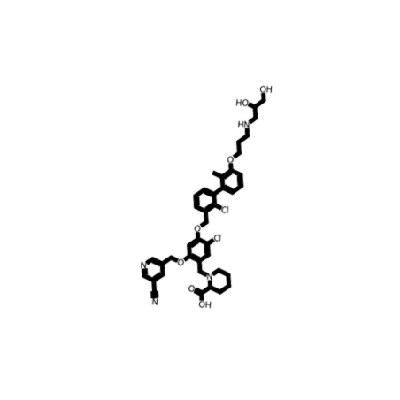 Cc1c(OCCCNCC(O)CO)cccc1-c1cccc(COc2cc(OCc3cncc(C#N)c3)c(CN3CCCCC3C(=O)O)cc2Cl)c1Cl